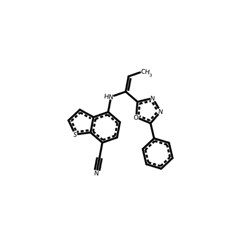 CC=C(Nc1ccc(C#N)c2sccc12)c1nnc(-c2ccccc2)o1